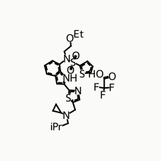 CCOCCN(c1cccc2cc(-c3ncc(CN(CC(C)C)C4CC4)s3)[nH]c12)S(=O)(=O)c1cccs1.O=C(O)C(F)(F)F